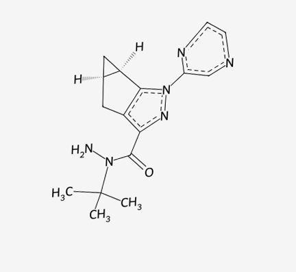 CC(C)(C)N(N)C(=O)c1nn(-c2cnccn2)c2c1C[C@H]1C[C@@H]21